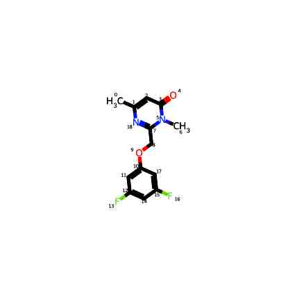 Cc1cc(=O)n(C)c(COc2cc(F)cc(F)c2)n1